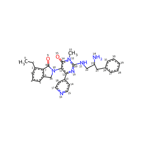 CCc1cccc2c1C(=O)N(c1c(-c3ccncc3)nc(NCC(N)Cc3ccccc3)n(C)c1=O)C2